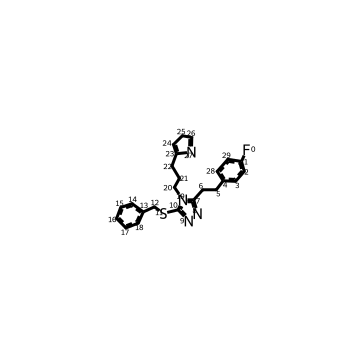 Fc1ccc(CCc2nnc(SCc3ccccc3)n2CCCC2=CCC=N2)cc1